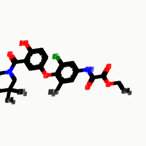 CCOC(=O)C(=O)Nc1cc(C)c(Oc2ccc(O)c(C(=O)N3CCCC(C)(C)C3)c2)c(Cl)c1